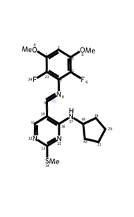 COc1cc(OC)c(F)c(/N=C/c2cnc(SC)nc2NC2CCCC2)c1F